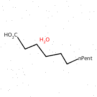 CCCCCCCCCCC(=O)O.O